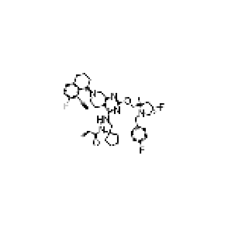 C#Cc1c(F)ccc2c1[C@H](N1CCc3c(nc(OC[C@]4(C)C[C@@H](F)CN4Cc4ccc(F)cc4)nc3NCC3(N(C)C(=O)C=C)CCCC3)C1)CCC2